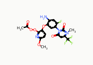 COc1ccc(Oc2cc(-n3c(=O)cc(C(F)(F)F)n(C)c3=O)c(F)cc2N)c(OOC(C)=O)n1